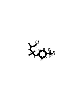 CC(CCl)CC(C)(C)Cc1ccc(C(F)(F)F)cc1